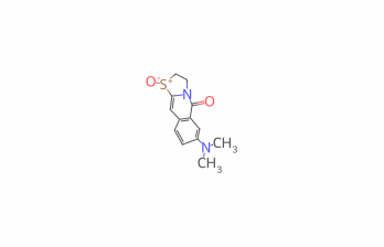 CN(C)c1ccc2cc3n(c(=O)c2c1)CC[S+]3[O-]